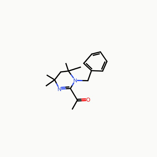 CC(=O)C1=NC(C)(C)CC(C)(C)N1Cc1ccccc1